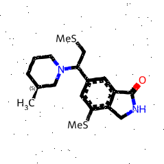 CSCC(c1cc(SC)c2c(c1)C(=O)NC2)N1CCC[C@H](C)C1